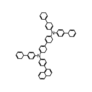 C1=CCC(c2ccc(N(C3=CCC(C4=CCCC=C4)C=C3)C3=CC=C(C4=CC=C(N(c5ccc(C6=C7C=CC=CC7CC=C6)cc5)c5ccc(C6C=CC=CC6)cc5)CC4)CC3)cc2)C=C1